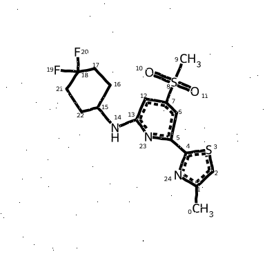 Cc1csc(-c2cc(S(C)(=O)=O)cc(NC3CCC(F)(F)CC3)n2)n1